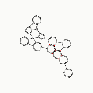 c1ccc(-c2ccc(N(c3ccc(-c4ccc5c(c4)C4(c6ccccc6-5)c5ccccc5-n5c6ccccc6c6cccc4c65)cc3)c3ccccc3-c3ccccc3-c3ccccc3)cc2)cc1